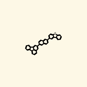 c1ccc2c(c1)-c1cccc3cc(-c4ccc5cc(-c6ccc7sc8ccccc8c7c6)ccc5c4)cc-2c13